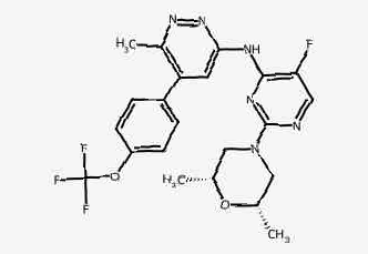 Cc1nnc(Nc2nc(N3C[C@@H](C)O[C@@H](C)C3)ncc2F)cc1-c1ccc(OC(F)(F)F)cc1